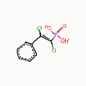 O=P(O)(O)C(Cl)=C(Cl)c1ccccc1